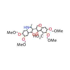 COCOc1cc2[nH]c(C)c(-c3coc4cc(OCOC)c(OCOC)c(C(=O)O)c4c3=O)c(=O)c2cc1OCOC